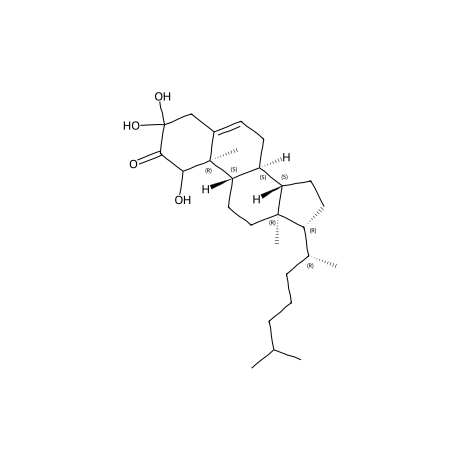 CC(C)CCC[C@@H](C)[C@H]1CC[C@H]2[C@@H]3CC=C4CC(O)(O)C(=O)C(O)[C@]4(C)[C@H]3CC[C@]12C